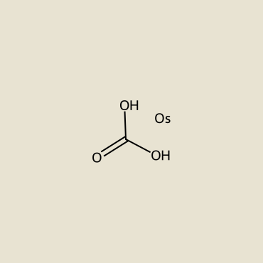 O=C(O)O.[Os]